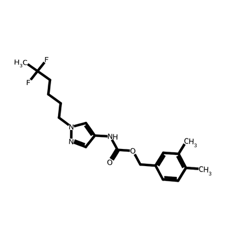 Cc1ccc(COC(=O)Nc2cnn(CCCCC(C)(F)F)c2)cc1C